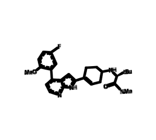 CNC(=O)[C@@H](NC1CC=C(c2cc3c(-c4cc(F)ccc4OC)ccnc3[nH]2)CC1)C(C)(C)C